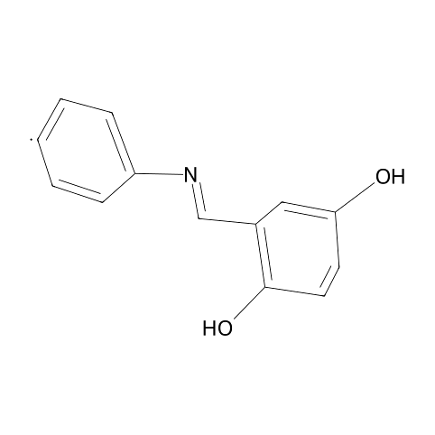 Oc1ccc(O)c(C=Nc2cc[c]cc2)c1